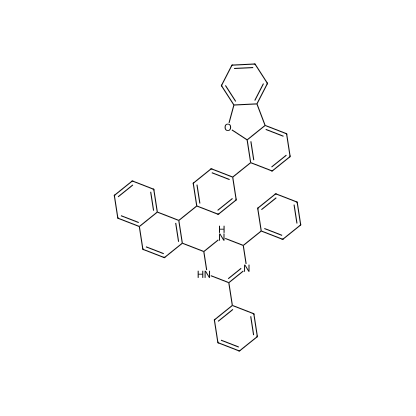 c1ccc(C2=NC(c3ccccc3)NC(c3ccc4ccccc4c3-c3ccc(-c4cccc5c4oc4ccccc45)cc3)N2)cc1